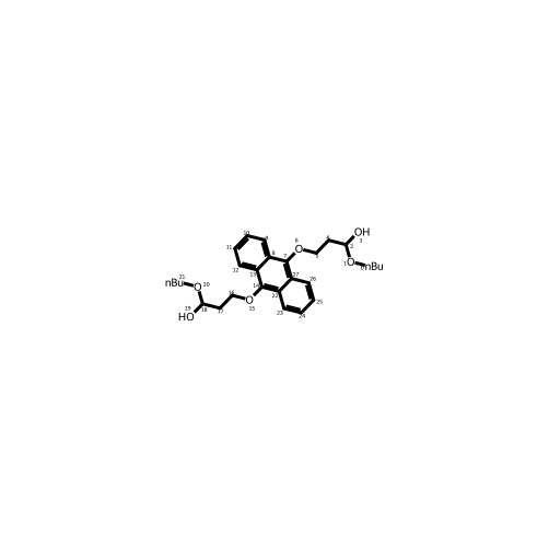 CCCCOC(O)CCOc1c2ccccc2c(OCCC(O)OCCCC)c2ccccc12